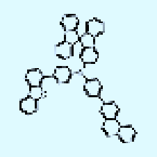 c1ccc2c(c1)-c1ccccc1C21c2ccccc2-c2ccc(N(c3ccc(-c4ccc5c(ccc6ccccc65)c4)cc3)c3ccc(-c4cccc5c4oc4ccccc45)cc3)cc21